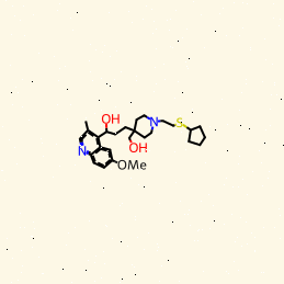 COc1ccc2ncc(C)c(C(O)CCC3(CO)CCN(CCSC4CCCC4)CC3)c2c1